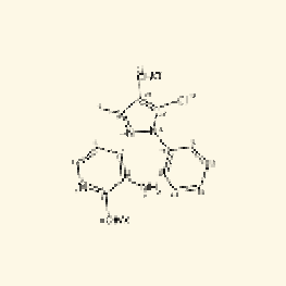 COc1ncccc1N.Cc1nn(-c2ccccc2)c(Cl)c1C=O